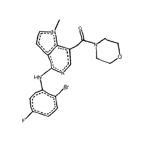 Cn1ccc2c(Nc3cc(F)ccc3Br)ncc(C(=O)N3CCOCC3)c21